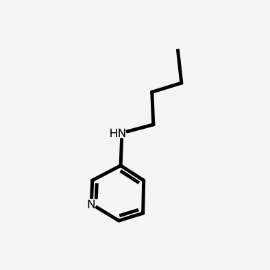 CCCCNc1cccnc1